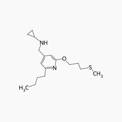 CCCCc1cc(CNC2CC2)cc(OCCCSC)n1